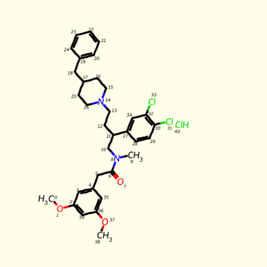 COc1cc(CC(=O)N(C)CC(CCN2CCC(Cc3ccccc3)CC2)c2ccc(Cl)c(Cl)c2)cc(OC)c1.Cl